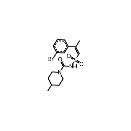 CC(=CS(=O)(=O)NC(=O)N1CCC(C)CC1)c1cccc(Br)c1